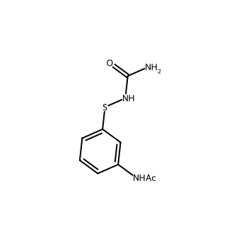 CC(=O)Nc1cccc(SNC(N)=O)c1